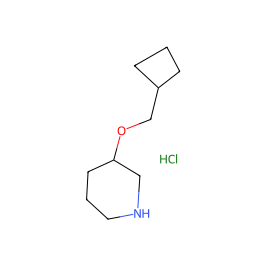 C1CC(COC2CCCNC2)C1.Cl